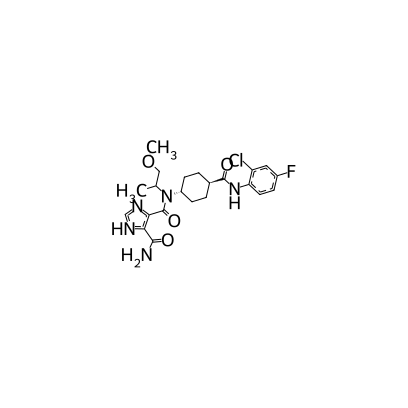 COCC(C)N(C(=O)c1nc[nH]c1C(N)=O)[C@H]1CC[C@H](C(=O)Nc2ccc(F)cc2Cl)CC1